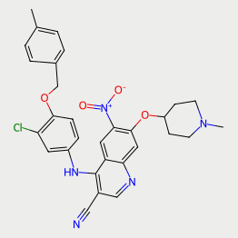 Cc1ccc(COc2ccc(Nc3c(C#N)cnc4cc(OC5CCN(C)CC5)c([N+](=O)[O-])cc34)cc2Cl)cc1